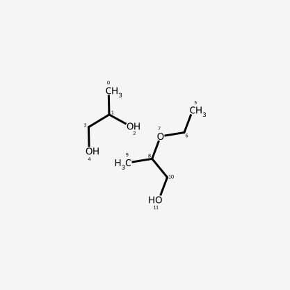 CC(O)CO.CCOC(C)CO